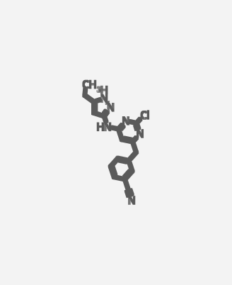 CCc1cc(Nc2cc(Cc3cccc(C#N)c3)nc(Cl)n2)n[nH]1